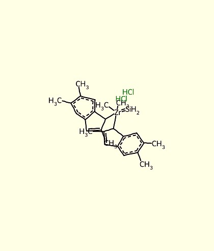 CC1=Cc2cc(C)c(C)cc2[CH]1[Zr]([CH3])([CH3])(=[SiH2])[CH]1C(C)=Cc2cc(C)c(C)cc21.Cl.Cl